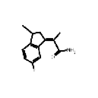 CC(C(N)=O)=C1CC(C)c2ccc(F)cc21